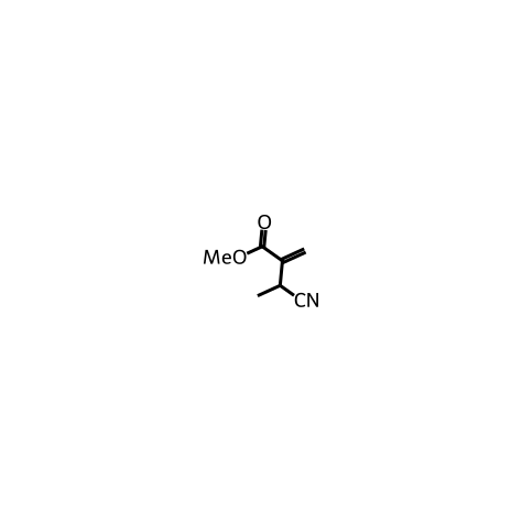 C=C(C(=O)OC)C(C)C#N